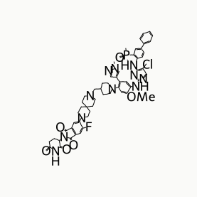 COc1cc(N2CCC(CN3CCC4(CC3)CCN(c3cc5c(cc3F)C(=O)N(C3CCC(=O)NC3=O)C5=O)CC4)CC2)c(-c2cnn(C)c2)cc1Nc1ncc(Cl)c(Nc2ccc(-c3ccccc3)cc2P(C)(C)=O)n1